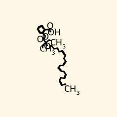 CC/C=C\C/C=C\C/C=C\C/C=C\C/C=C\CCCCOC(CC)(CC)C(=O)Oc1ccccc1C(=O)O